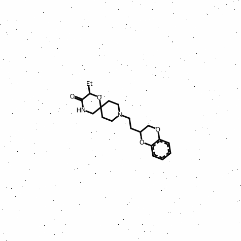 CCC1OC2(CCN(CCC3COc4ccccc4O3)CC2)CNC1=O